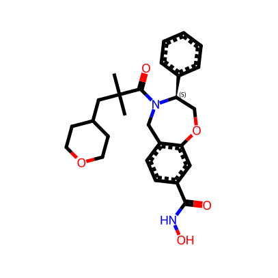 CC(C)(CC1CCOCC1)C(=O)N1Cc2ccc(C(=O)NO)cc2OC[C@@H]1c1ccccc1